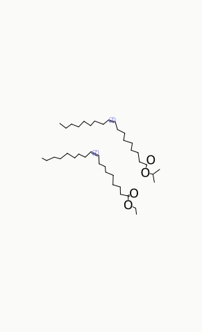 CCCCCCCC/C=C\CCCCCCCC(=O)OC(C)C.CCCCCCCC/C=C\CCCCCCCC(=O)OCC